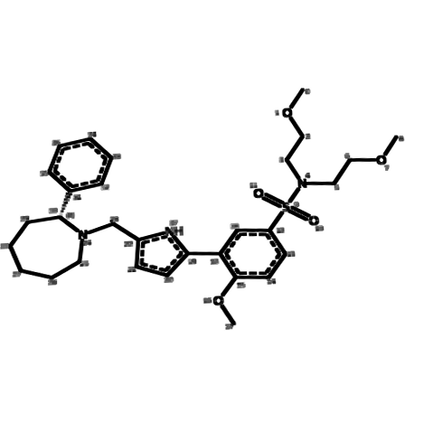 COCCN(CCOC)S(=O)(=O)c1ccc(OC)c(-c2ccc(CN3CCCCC[C@@H]3c3ccccc3)[nH]2)c1